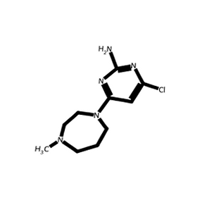 CN1CCCN(c2cc(Cl)nc(N)n2)CC1